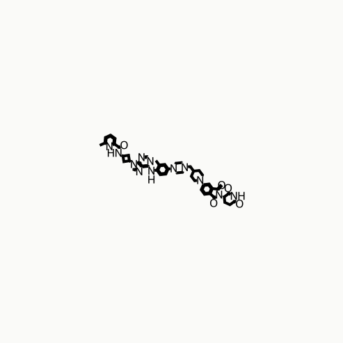 Cc1cccc(C(=O)NC2CC(n3cnc4c(Nc5ccc(N6CCN(CC7CCN(c8ccc9c(c8)C(=O)N([C@H]8CCC(=O)NC8=O)C9=O)CC7)CC6)cc5C)ncnc43)C2)n1